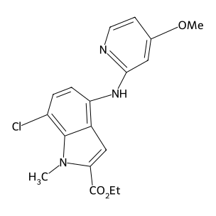 CCOC(=O)c1cc2c(Nc3cc(OC)ccn3)ccc(Cl)c2n1C